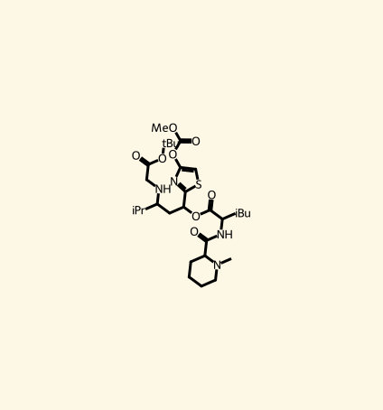 CCC(C)C(NC(=O)C1CCCCN1C)C(=O)OC(CC(NCC(=O)OC(C)(C)C)C(C)C)c1nc(OC(=O)OC)cs1